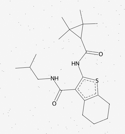 CC(C)CNC(=O)c1c(NC(=O)C2C(C)(C)C2(C)C)sc2c1CCCC2